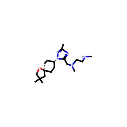 CNCCN(C)Cc1nc(C)nn1[C@H]1CC[C@]2(CC1)CC(C)(C)CO2